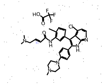 Cc1ccc(-c2c(-c3ccc(N4CCN(C)CC4)cc3)[nH]c3nccc(Cl)c23)cc1NC(=O)/C=C/CN(C)C.O=C(O)C(F)(F)F